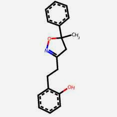 CC1(c2ccccc2)CC(CCc2ccccc2O)=NO1